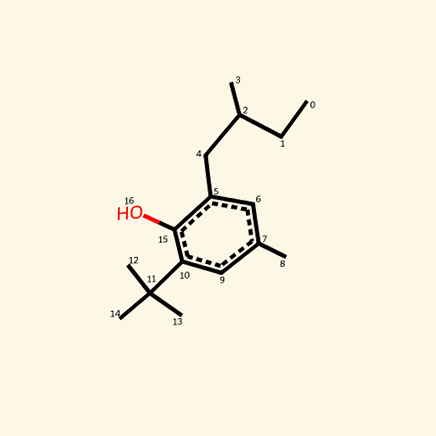 CCC(C)Cc1cc(C)cc(C(C)(C)C)c1O